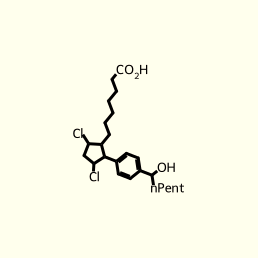 CCCCCC(O)c1ccc(C2C(Cl)CC(Cl)C2CCCCCCC(=O)O)cc1